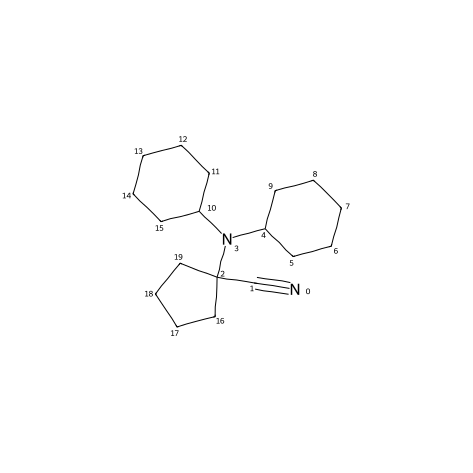 N#CC1(N(C2CCCCC2)C2CCCCC2)CCCC1